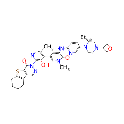 CC[C@H]1CN(C2COC2)CCN1c1ccc(Nc2cc(-c3c(C)cnc(-n4ncc5c6c(sc5c4=O)CCCC6)c3O)cn(C)c2=O)nc1